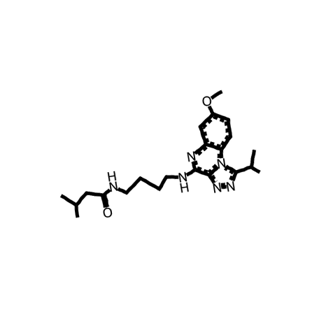 COc1ccc2c(c1)nc(NCCCCNC(=O)CC(C)C)c1nnc(C(C)C)n12